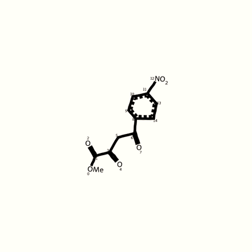 COC(=O)C(=O)CC(=O)c1ccc([N+](=O)[O-])cc1